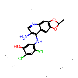 CC1Oc2cc3ncc(N)c(Nc4cc(O)c(Cl)cc4Cl)c3cc2O1